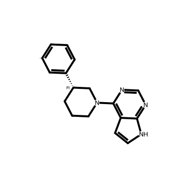 [c]1cccc([C@H]2CCCN(c3ncnc4[nH]ccc34)C2)c1